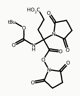 CC(C)(C)OC(=O)NC(CCC(=O)O)(C(=O)ON1C(=O)CCC1=O)N1C(=O)CCC1=O